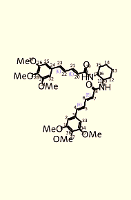 COc1cc(/C=C/C=C/C(=O)N[C@@H]2CCCC[C@H]2NC(=O)/C=C/C=C/c2cc(OC)c(OC)c(OC)c2)cc(OC)c1OC